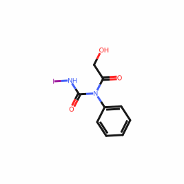 O=C(CO)N(C(=O)NI)c1ccccc1